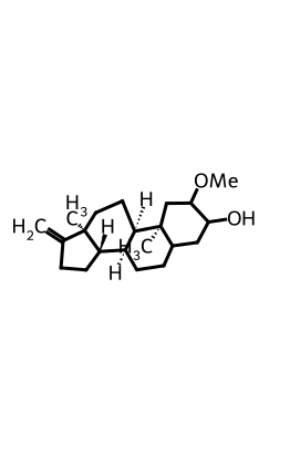 C=C1CC[C@H]2[C@@H]3CCC4CC(O)C(OC)C[C@]4(C)[C@@H]3CC[C@]12C